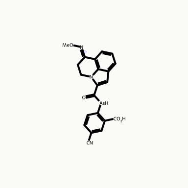 CO/N=C1\CCn2c(C(=O)[AsH]c3ccc(C#N)cc3C(=O)O)cc3cccc1c32